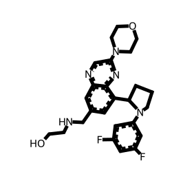 OCCNCc1cc(C2CCCN2c2cc(F)cc(F)c2)c2nc(N3CCOCC3)cnc2c1